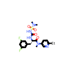 CCc1ccc(N(C)C(=O)[C@H](Cc2cc(F)cc(F)c2)NC(=O)NS(=O)(=O)N(C)C)cn1